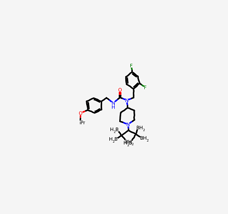 BC(B)(B)C(N1CCC(N(Cc2ccc(F)cc2F)C(=O)NCc2ccc(OC(C)C)cc2)CC1)C(B)(B)B